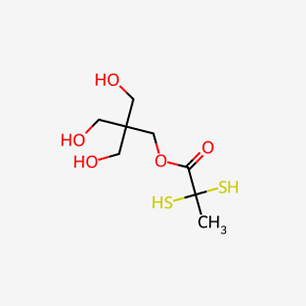 CC(S)(S)C(=O)OCC(CO)(CO)CO